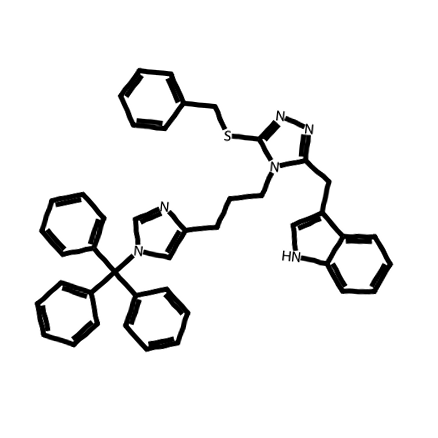 c1ccc(CSc2nnc(Cc3c[nH]c4ccccc34)n2CCCc2cn(C(c3ccccc3)(c3ccccc3)c3ccccc3)cn2)cc1